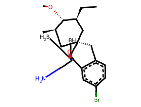 BC1(B)OC(N)=N[C@]12c1cc(Br)ccc1C[C@]21C[C@H](CC)[C@@H](OC)[C@H](C)C1